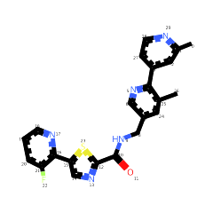 Cc1cc(-c2ncc(CNC(=O)c3ncc(-c4ncccc4F)s3)cc2C)ccn1